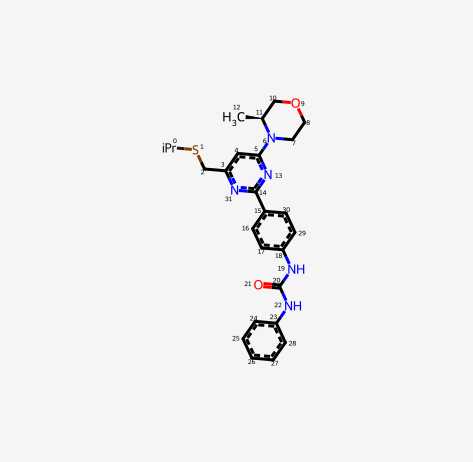 CC(C)SCc1cc(N2CCOC[C@@H]2C)nc(-c2ccc(NC(=O)Nc3ccccc3)cc2)n1